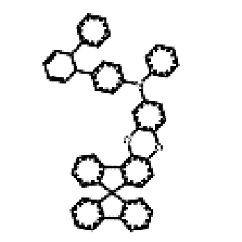 C1=CC(c2ccccc2)C(c2ccc(N(c3ccccc3)c3ccc4c(c3)Oc3c(ccc5c3-c3ccccc3C53c5ccccc5-c5ccccc53)O4)cc2)C=C1